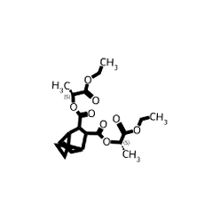 CCOC(=O)[C@H](C)OC(=O)C1C(C(=O)O[C@@H](C)C(=O)OCC)C2C=CC1C21CC1